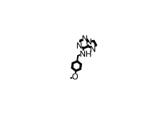 COc1ccc(CNc2ncnn3ccnc23)cc1